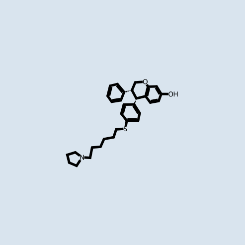 Oc1ccc2c(c1)OC[C@@H](c1ccccc1)[C@H]2c1ccc(SCCCCCCN2CCCC2)cc1